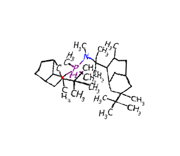 CC1CC2CC(CC(C)(C(C)(C)C)C2)C1C(C)(C)N(C)[PH](C)(C)C(C)C1C2CCC1CC(C(C)(C)C)C2